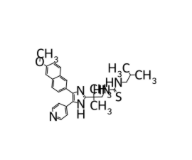 COc1ccc2cc(-c3nc(C(C)(C)CNC(=S)NCC(C)C)[nH]c3-c3ccncc3)ccc2c1